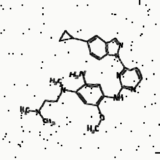 COc1cc(N(C)CCN(C)C)c(N)cc1Nc1nccc(-n2ncc3cc(C4CC4)ccc32)n1